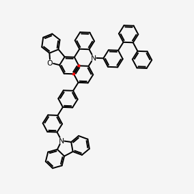 c1ccc(-c2ccccc2-c2cccc(N(c3ccc(-c4ccc(-c5cccc(-n6c7ccccc7c7ccccc76)c5)cc4)cc3)c3ccccc3-c3cccc4oc5ccccc5c34)c2)cc1